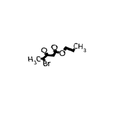 CCCOC(=O)CC(=O)C(C)Br